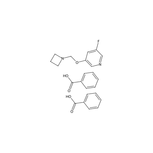 Fc1cncc(OCN2CCC2)c1.O=C(O)c1ccccc1.O=C(O)c1ccccc1